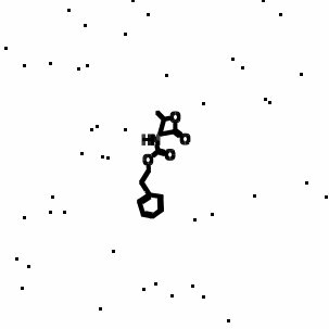 CC1OC(=O)C1NC(=O)OCCc1ccccc1